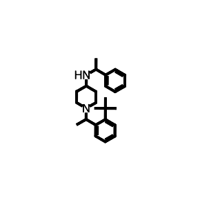 CC(NC1CCN(C(C)c2ccccc2C(C)(C)C)CC1)c1ccccc1